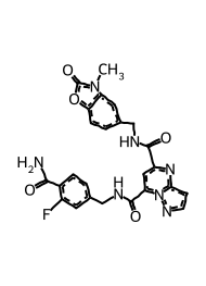 Cn1c(=O)oc2ccc(CNC(=O)c3cc(C(=O)NCc4ccc(C(N)=O)c(F)c4)n4nccc4n3)cc21